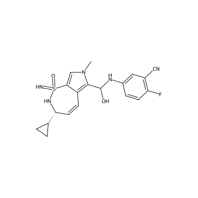 Cn1cc2c(c1C(O)Nc1ccc(F)c(C#N)c1)C=C[C@H](C1CC1)NS2(=N)=O